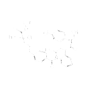 CCN(C(=O)C1CC(C)N(C(=O)c2ccc(CCCC(C)(C)C(=O)OC)cc2)c2ccccc21)c1ccc(Cl)cc1